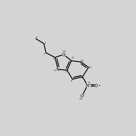 CCCc1nc2cc([N+](=O)[O-])ccc2o1